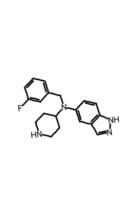 Fc1cccc(CN(c2ccc3[nH]ncc3c2)C2CCNCC2)c1